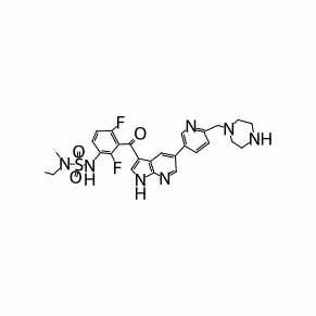 CCN(C)S(=O)(=O)Nc1ccc(F)c(C(=O)c2c[nH]c3ncc(-c4ccc(CN5CCNCC5)nc4)cc23)c1F